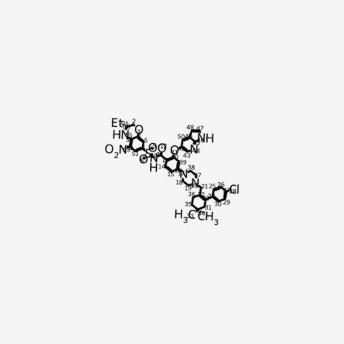 CC[C@@H]1COc2cc(S(=O)(=O)NC(=O)c3ccc(N4CCN(CC5=C(c6ccc(Cl)cc6)CC(C)(C)CC5)CC4)cc3Oc3cnc4[nH]ccc4c3)cc([N+](=O)[O-])c2N1